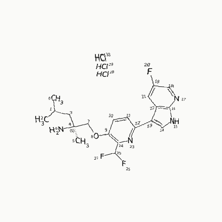 CC(C)C[C@](C)(N)COc1ccc(-c2c[nH]c3ncc(F)cc23)nc1C(F)F.Cl.Cl.Cl